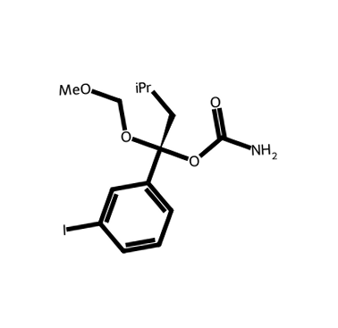 COCO[C@](CC(C)C)(OC(N)=O)c1cccc(I)c1